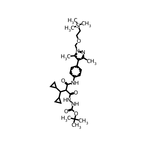 Cc1nn(COCC[Si](C)(C)C)c(C)c1-c1ccc(NC(=O)C(C(=O)NNC(=O)OC(C)(C)C)C(C2CC2)C2CC2)cc1